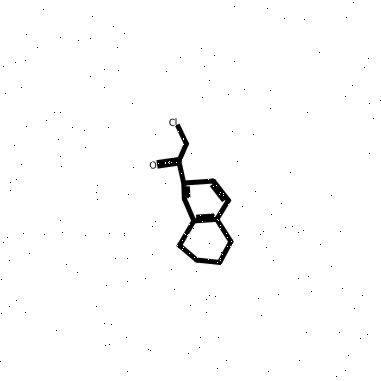 O=C(CCl)c1ccc2c(c1)CCCC2